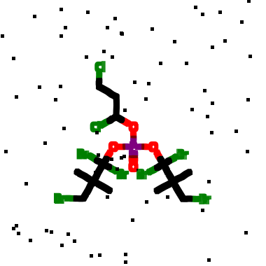 CC(C)(CBr)C(Br)(Br)OP(=O)(OC(Cl)CCCl)OC(Br)(Br)C(C)(C)CBr